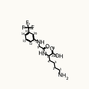 NCCCCC(NC(=O)CNc1cccc(C(F)(F)F)c1)C(=O)O